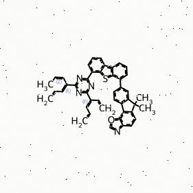 C=C/C=C(\C=C)c1nc(C(/C=C\C)=C/C=C)nc(-c2cccc3c2sc2c(-c4ccc5c(c4)C(C)(C)c4ccc6ncoc6c4-5)cccc23)n1